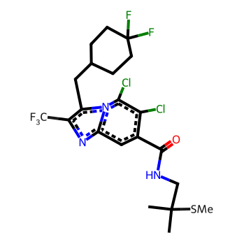 CSC(C)(C)CNC(=O)c1cc2nc(C(F)(F)F)c(CC3CCC(F)(F)CC3)n2c(Cl)c1Cl